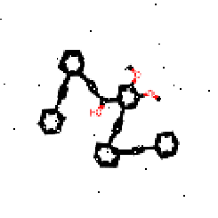 COc1cc(C#Cc2ccccc2C#Cc2ccccc2)c(C(O)C#Cc2ccccc2C#Cc2ccccc2)cc1OC